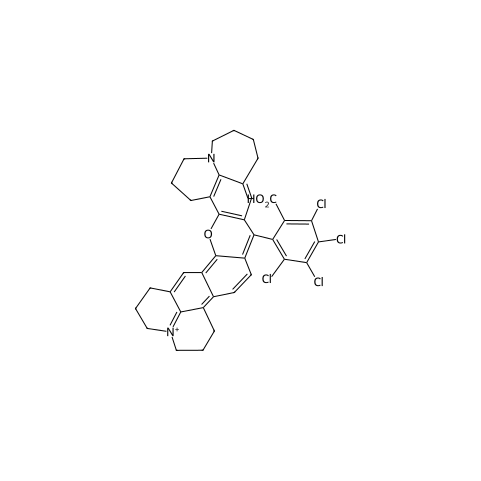 O=C(O)c1c(Cl)c(Cl)c(Cl)c(Cl)c1C1=c2ccc3c4c5c(cc3c2Oc2c1cc1c3c2CCCN3CCCC1)CCC[N+]=5CCC4